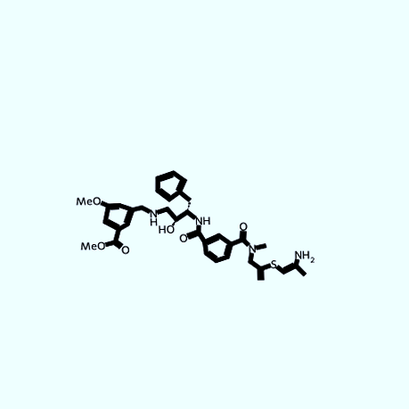 C=C(CN(C)C(=O)c1cccc(C(=O)N[C@@H](Cc2ccccc2)[C@H](O)CNCc2cc(OC)cc(C(=O)OC)c2)c1)S/C=C(/C)N